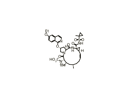 CCOc1ccc2c(O[C@@H]3C[C@H]4C(=O)N[C@]5(C(=O)NS(=O)(=O)C6(C)CC6)C[C@H]5/C=C\CC[C@@H](C)C[C@@H](C)[C@H](N(C(=O)O)C(C)(C)C)C(=O)N4C3)nccc2c1